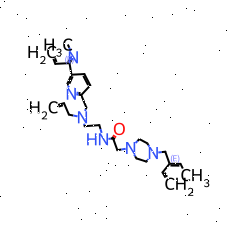 C=CCN(CCNC(=O)CN1CCN(C/C(C=C)=C/C)CC1)Cc1ccc(/C(C=C)=N/C)cn1